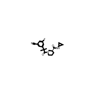 CC(C)(C(=O)N1CCC[C@H](C(=O)NC2CC2)C1)c1cc(F)cc(C#N)c1